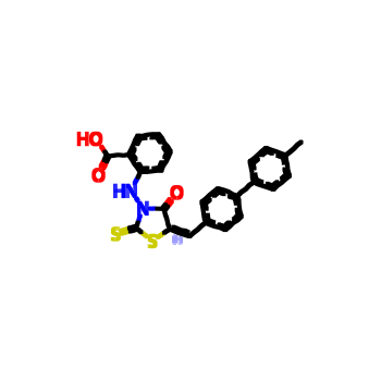 Cc1ccc(-c2ccc(/C=C3/SC(=S)N(Nc4ccccc4C(=O)O)C3=O)cc2)cc1